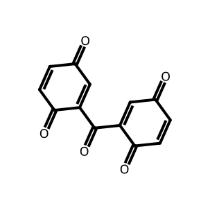 O=C1C=CC(=O)C(C(=O)C2=CC(=O)C=CC2=O)=C1